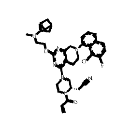 C=CC(=O)N1CCN(c2nc(OCCN(C)C3CC4CC3C4)nc3c2CCN(c2cccc4ccc(F)c(Cl)c24)C3)C[C@@H]1CC#N